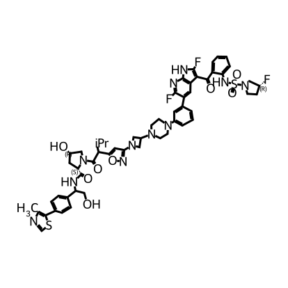 Cc1ncsc1-c1ccc(C(CO)NC(=O)[C@@H]2C[C@@H](O)CN2C(=O)C(c2cc(N3CC(N4CCN(c5cccc(-c6cc7c(C(=O)c8ccccc8NS(=O)(=O)N8CC[C@@H](F)C8)c(F)[nH]c7nc6F)c5)CC4)C3)no2)C(C)C)cc1